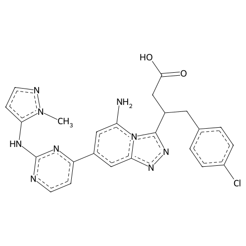 Cn1nccc1Nc1nccc(-c2cc(N)n3c(C(CC(=O)O)Cc4ccc(Cl)cc4)nnc3c2)n1